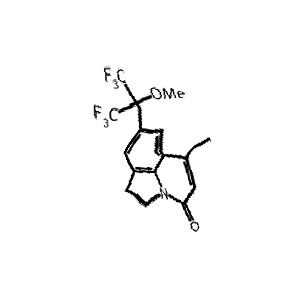 COC(c1cc2c3c(c1)c(C)cc(=O)n3CC2)(C(F)(F)F)C(F)(F)F